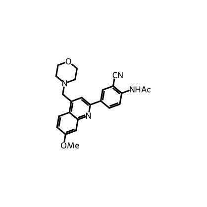 COc1ccc2c(CN3CCOCC3)cc(-c3ccc(NC(C)=O)c(C#N)c3)nc2c1